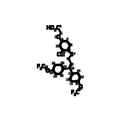 O=C(O)COc1ccc(SCC=C(c2ccc(OC(F)(F)F)cc2)c2ccc(OC(F)(F)F)cc2)c(Cl)c1